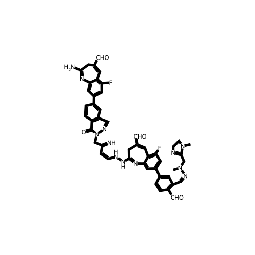 CN(CC1=NCCN1C)/N=C\c1cc(-c2cc(F)c3c(c2)N=C(NN/C=C\C(=N)Cn2ncc4cc(-c5cc(F)c6c(c5)N=C(N)CC(C=O)=C6)ccc4c2=O)CC(C=O)=C3)ccc1C=O